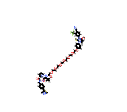 Cc1ncsc1-c1ccc(CNC(=O)[C@@H]2CCCN2C(=O)C(NC(=O)COCCOCCOCCOCCOCCOCCOc2ccc(N3C(=S)N(c4ccc(C#N)c(C(F)(F)F)c4)C(=O)C3(C)C)cc2)C(C)(C)C)cc1